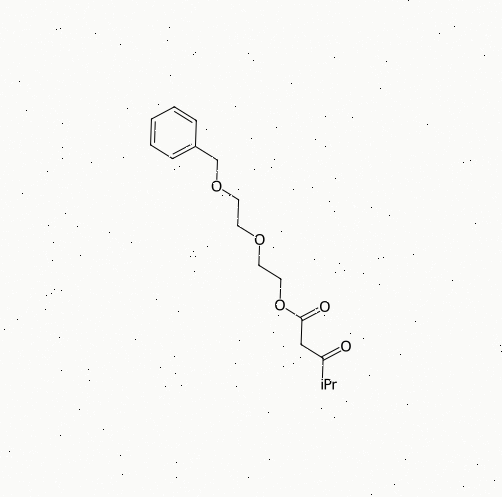 CC(C)C(=O)CC(=O)OCCOCCOCc1ccccc1